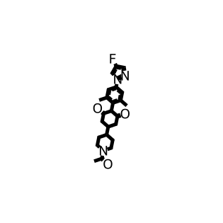 CC(=O)N1CCC(C2CC(=O)C(c3c(C)cc(-n4cc(F)cn4)cc3C)C(=O)C2)CC1